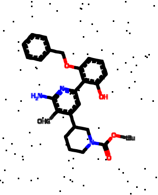 CC(C)(C)OC(=O)N1CCCC(c2cc(-c3c(O)cccc3OCc3ccccc3)nc(N)c2C=O)C1